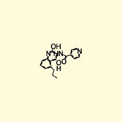 CCCc1cccc2nc(O)c(NC(=O)c3ccncc3)c(O)c12